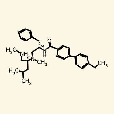 CCc1ccc(-c2ccc(C(=O)N[C@@H](Cc3ccccc3)CN(C)[C@H](CNC)CC(C)C)cc2)cc1